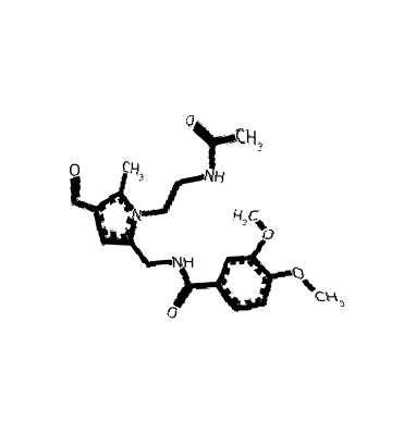 COc1ccc(C(=O)NCc2cc(C=O)c(C)n2CCNC(C)=O)cc1OC